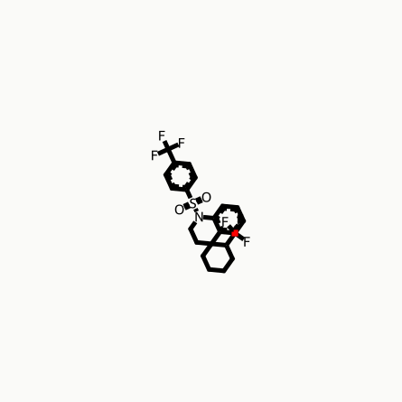 O=S(=O)(c1ccc(C(F)(F)F)cc1)N1CCC2(CCCCC2C(F)(F)F)c2ccccc21